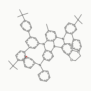 Cc1cc2c3c(c1)N(c1ccc(C(C)(C)C)cc1-c1ccccc1)c1cc4c(cc1B3c1ccc(N(c3ccccc3)c3ccccc3)cc1N2c1cc(-c2ccc(C(C)(C)C)cc2)cc(-c2ccc(C(C)(C)C)cc2)c1)OCCO4